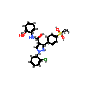 CS(=O)(=O)c1ccc(-c2nn(-c3ccccc3Cl)cc2C(=O)Nc2ccccc2O)cc1